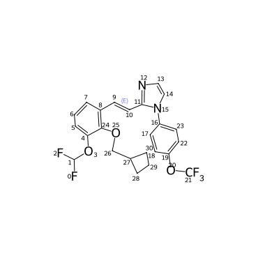 FC(F)Oc1cccc(/C=C/c2nccn2-c2ccc(OC(F)(F)F)cc2)c1OCC1CCC1